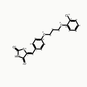 O=C1NC(=O)C(=Cc2ccc(OCCCOc3ccccc3Cl)cc2)S1